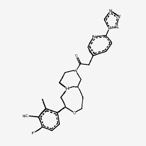 Cc1c(C2CN3CCN(C(=O)Cc4ccc(-n5cnnn5)nc4)CC3CCO2)ccc(F)c1C#N